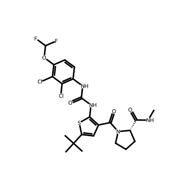 CNC(=O)[C@@H]1CCCN1C(=O)c1cc(C(C)(C)C)sc1NC(=O)Nc1ccc(OC(F)F)c(Cl)c1Cl